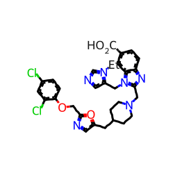 CCn1cncc1Cn1c(CN2CCC(Cc3cnc(COc4ccc(Cl)cc4Cl)o3)CC2)nc2ccc(C(=O)O)cc21